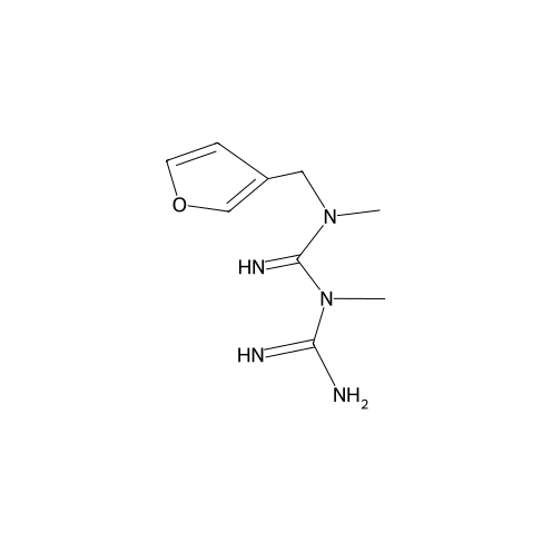 CN(Cc1ccoc1)C(=N)N(C)C(=N)N